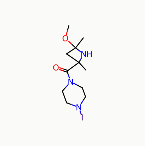 COC1(C)CC(C)(C(=O)N2CCN(I)CC2)N1